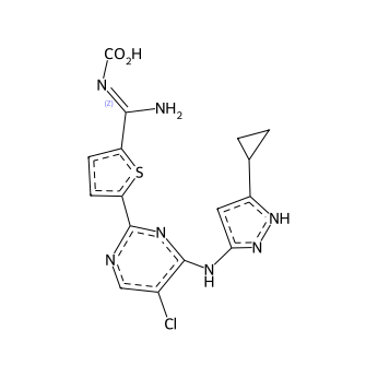 N/C(=N\C(=O)O)c1ccc(-c2ncc(Cl)c(Nc3cc(C4CC4)[nH]n3)n2)s1